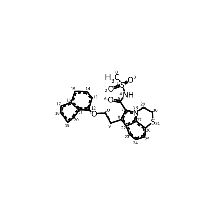 CS(=O)(=O)NC(=O)c1c(CCOc2cccc3ccccc23)c2cccc3c2n1CCS3